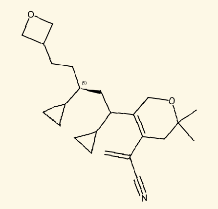 C=C(C#N)C1=C(C(C[C@H](CCC2COC2)C2CC2)C2CC2)COC(C)(C)C1